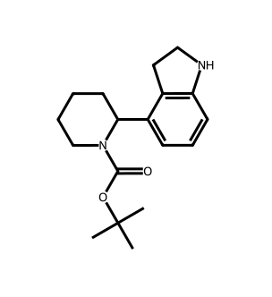 CC(C)(C)OC(=O)N1CCCCC1c1cccc2c1CCN2